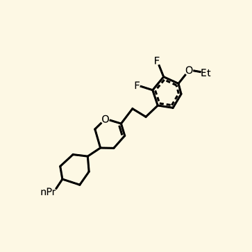 CCCC1CCC(C2CC=C(CCc3ccc(OCC)c(F)c3F)OC2)CC1